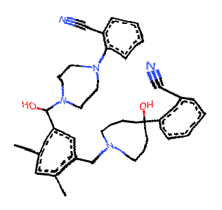 Cc1cc(C)c(C(O)N2CCN(c3ccccc3C#N)CC2)cc1CN1CCC(O)(c2ccccc2C#N)CC1